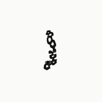 O=C(OC1CCC2C(CCC3C4CCCC4CCC23)C1)c1ccc(-c2nccc3c2[nH]c2ccccc23)cc1